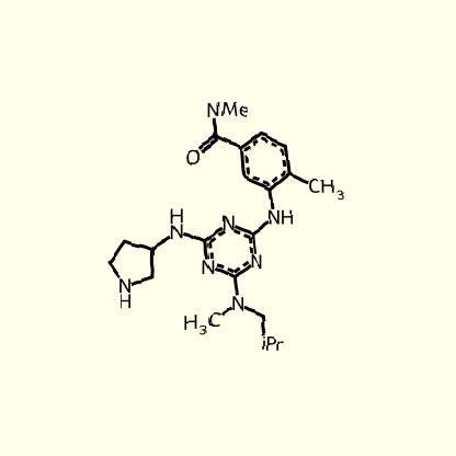 CNC(=O)c1ccc(C)c(Nc2nc(NC3CCNC3)nc(N(C)CC(C)C)n2)c1